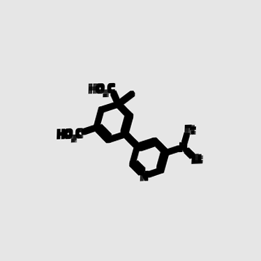 CCN(CC)c1cncc(C2=CC(C)(C(=O)O)CC(C(=O)O)=C2)c1